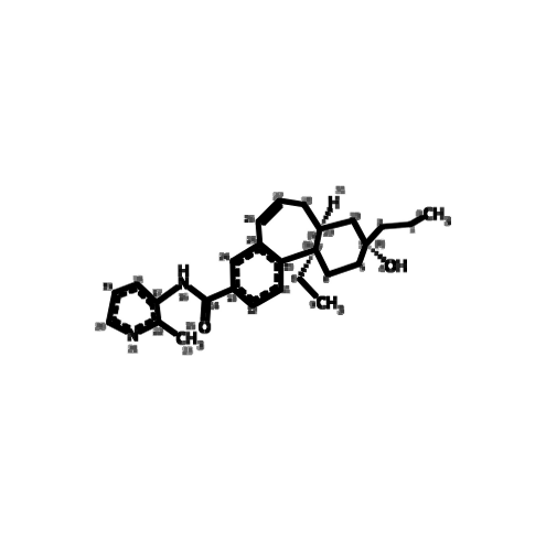 CCC[C@@]1(O)CC[C@@]2(CC)c3ccc(C(=O)Nc4cccnc4C)cc3C=CC[C@H]2C1